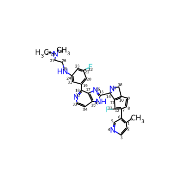 Cc1ccncc1-c1ccc2c(c1F)C(c1nc3c(-c4cc(F)cc(NCCN(C)C)c4)nccc3[nH]1)=NC2